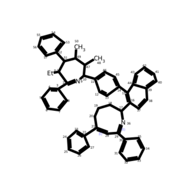 CCC1C(c2ccccc2)=NC(c2ccc(-c3c(C4CCC/C(c5ccccc5)=C\C(c5ccccc5)=N/4)ccc4ccccc34)cc2)C(C)C(C)C1c1ccccc1